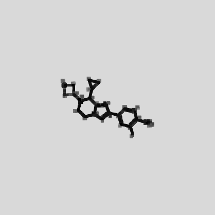 Cc1cc(-c2cn3c(n2)C(C2CC2)N(C2COC2)CC3)cnc1N